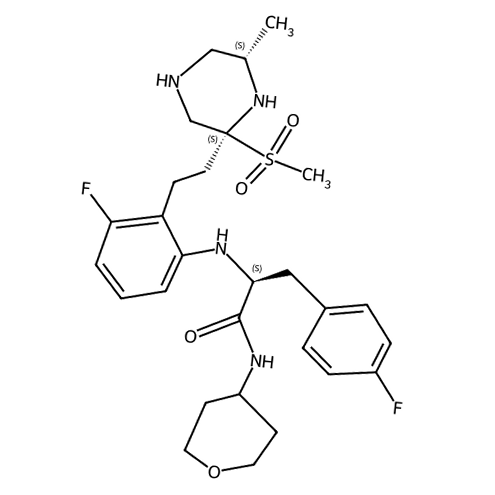 C[C@H]1CNC[C@](CCc2c(F)cccc2N[C@@H](Cc2ccc(F)cc2)C(=O)NC2CCOCC2)(S(C)(=O)=O)N1